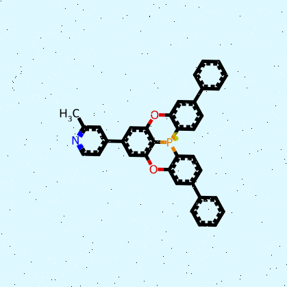 Cc1cc(-c2cc3c4c(c2)Oc2cc(-c5ccccc5)ccc2P4(=S)c2ccc(-c4ccccc4)cc2O3)ccn1